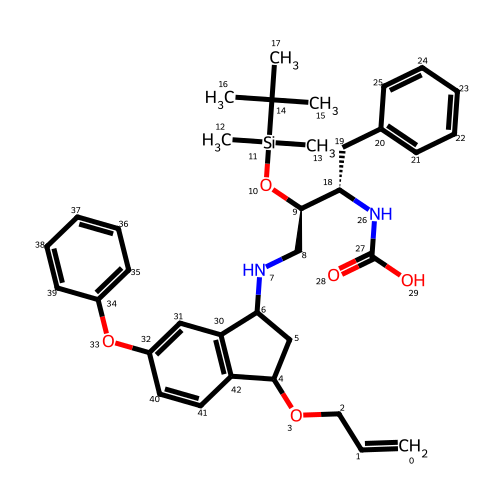 C=CCOC1CC(NC[C@@H](O[Si](C)(C)C(C)(C)C)[C@H](Cc2ccccc2)NC(=O)O)c2cc(Oc3ccccc3)ccc21